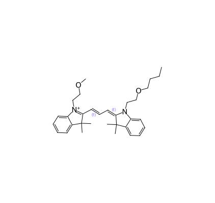 CCCCOCCN1/C(=C/C=C/C2=[N+](CCOC)c3ccccc3C2(C)C)C(C)(C)c2ccccc21